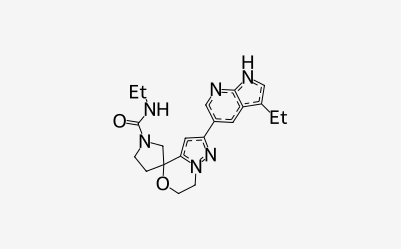 CCNC(=O)N1CCC2(C1)OCCn1nc(-c3cnc4[nH]cc(CC)c4c3)cc12